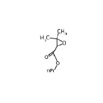 CCCOC(=O)C1OC1(C)C